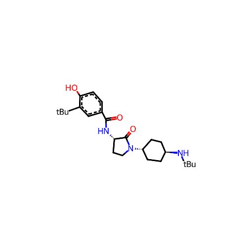 CC(C)(C)N[C@H]1CC[C@H](N2CC[C@H](NC(=O)c3ccc(O)c(C(C)(C)C)c3)C2=O)CC1